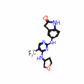 O=C1Cc2cc(Nc3ncc(C(F)(F)F)c(NC4CCOC4)n3)ccc2N1